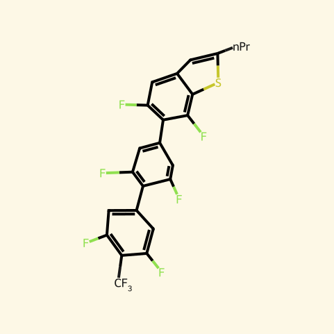 CCCc1cc2cc(F)c(-c3cc(F)c(-c4cc(F)c(C(F)(F)F)c(F)c4)c(F)c3)c(F)c2s1